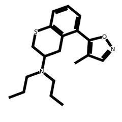 CCCN(CCC)C1CSc2cccc(-c3oncc3C)c2C1